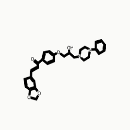 O=C(C=Cc1ccc2c(c1)OCO2)c1ccc(OCC(O)CN2CCN(c3ccccc3)CC2)cc1